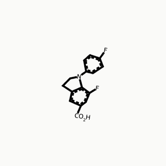 O=C(O)c1cc(F)c2c(c1)CCN2c1ccc(F)cc1